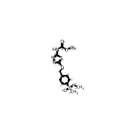 CN=S(C)(=O)c1ccc(COc2nnc(NC(=O)OC(C)(C)C)s2)cc1